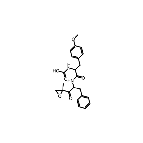 COc1ccc(C[C@H](NC(=O)O)C(=O)N[C@@H](Cc2ccccc2)C(=O)[C@@]2(C)CO2)cc1